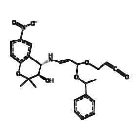 CC(OC(/C=C/N[C@H]1c2cc([N+](=O)[O-])ccc2OC(C)(C)[C@@H]1O)OCC=C=O)c1ccccc1